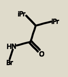 CC(C)C(C(=O)NBr)C(C)C